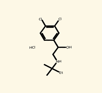 CCC(C)(C)NCC(O)c1ccc(Cl)c(Cl)c1.Cl